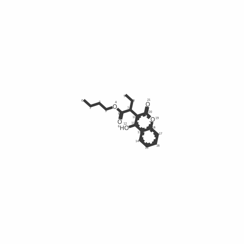 CCCCOC(=O)C(CC)c1c(O)c2ccccc2oc1=O